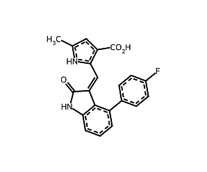 Cc1cc(C(=O)O)c(/C=C2\C(=O)Nc3cccc(-c4ccc(F)cc4)c32)[nH]1